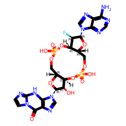 Nc1ncnc2c1ncn2[C@@H]1O[C@@H]2COP(=O)(O)O[C@H]3[C@@H](O)[C@H](n4cnc5c(=O)n6ccnc6[nH]c54)O[C@@H]3COP(=O)(O)O[C@H]2[C@H]1F